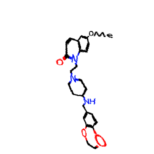 COc1ccc2c(ccc(=O)n2CCN2CCC(NCc3ccc4c(c3)OCCO4)CC2)c1